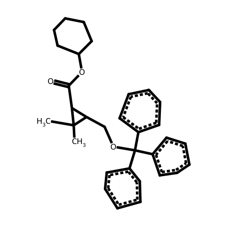 CC1(C)C(COC(c2ccccc2)(c2ccccc2)c2ccccc2)C1C(=O)OC1CCCCC1